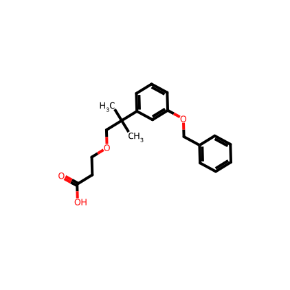 CC(C)(COCCC(=O)O)c1cccc(OCc2ccccc2)c1